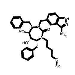 CCCOCCCCN1C(=O)N(Cc2ccc3[nH]nc(N)c3c2)[C@H](Cc2ccccc2)[C@H](O)[C@@H](O)[C@H]1Cc1ccccc1